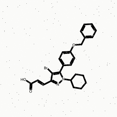 O=C(O)C=Cc1nn(C2CCCCC2)c(-c2ccc(OCc3ccccc3)cc2)c1Br